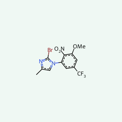 COc1cc(C(F)(F)F)cc(-n2cc(C)nc2Br)c1[N+](=O)[O-]